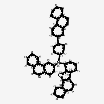 c1ccc2c(c1)ccc1cc(-c3ccc(N(c4ccc5ccc6ccccc6c5c4)c4cccc5c4oc4c6ccccc6ccc54)cc3)ccc12